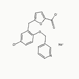 O=C([O-])c1ccc(Cc2cc(Cl)ccc2OCc2cccnc2)o1.[Na+]